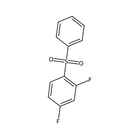 O=S(=O)(c1ccccc1)c1ccc(F)cc1F